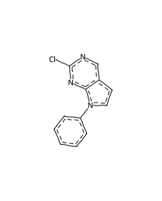 Clc1ncc2ccn(-c3ccccc3)c2n1